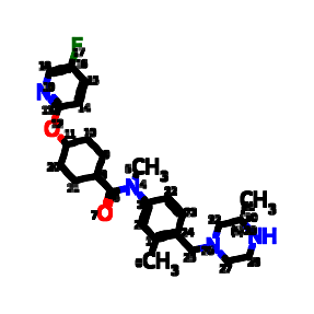 Cc1cc(N(C)C(=O)C2CCC(Oc3ccc(F)cn3)CC2)ccc1CN1CCN[C@@H](C)C1